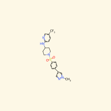 Cn1cc(-c2ccc(S(=O)(=O)N3CCC(Nc4ccc(C(F)(F)F)cn4)CC3)cc2)cn1